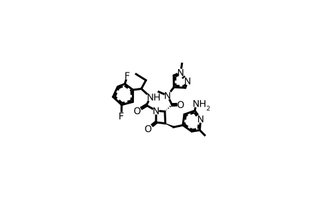 CCC(NC(=O)N1C(=O)[C@H](Cc2cc(C)nc(N)c2)[C@H]1C(=O)N(C)c1cnn(C)c1)c1cc(F)ccc1F